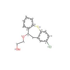 OCCOC1Cc2cc(Cl)ccc2Sc2ccccc21